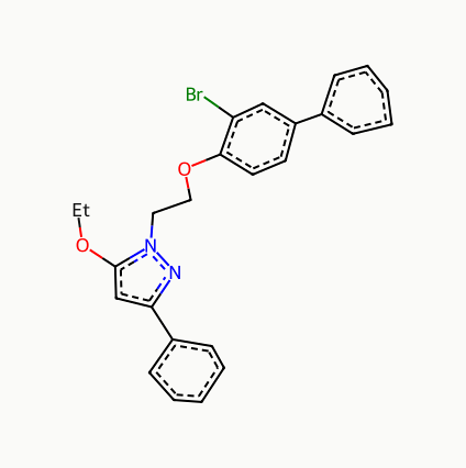 CCOc1cc(-c2ccccc2)nn1CCOc1ccc(-c2ccccc2)cc1Br